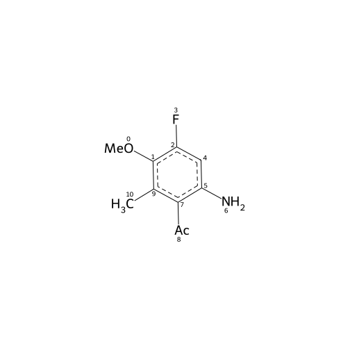 COc1c(F)cc(N)c(C(C)=O)c1C